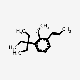 CC=Cc1cccc(C(CC)(CC)CC)c1OC